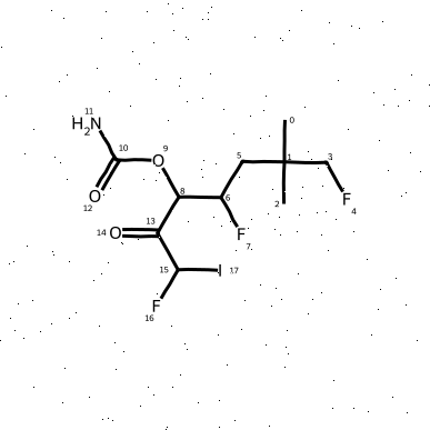 CC(C)(CF)CC(F)C(OC(N)=O)C(=O)C(F)I